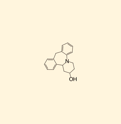 OC1CCN2c3ccccc3Cc3ccccc3C2C1